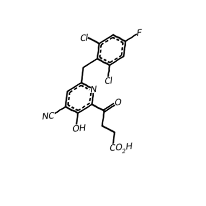 N#Cc1cc(Cc2c(Cl)cc(F)cc2Cl)nc(C(=O)CCC(=O)O)c1O